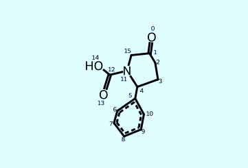 O=C1CCC(c2ccccc2)N(C(=O)O)C1